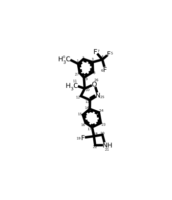 Cc1cc(C(F)(F)F)cc(C2(C)CC(c3ccc(C4(F)CNC4)cc3)=NO2)c1